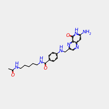 CC(=O)NCCCCCNC(=O)c1ccc(NCc2cnc3cc(N)[nH]c(=O)c3n2)cc1